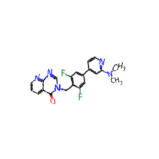 CN(C)c1cc(-c2cc(F)c(Cn3cnc4ncccc4c3=O)c(F)c2)ccn1